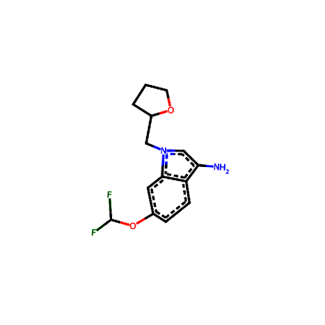 Nc1cn(CC2CCCO2)c2cc(OC(F)F)ccc12